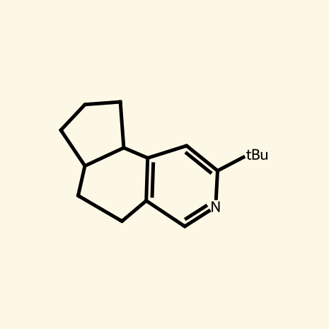 CC(C)(C)c1cc2c(cn1)CCC1CCCC21